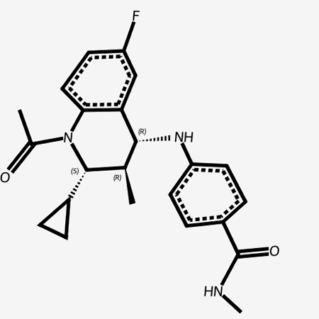 CNC(=O)c1ccc(N[C@H]2c3cc(F)ccc3N(C(C)=O)[C@@H](C3CC3)[C@@H]2C)cc1